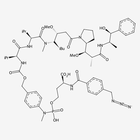 CC[C@H](C)[C@@H]([C@@H](CC(=O)N1CCC[C@H]1[C@H](OC)[C@@H](C)C(=O)N[C@H](C)[C@@H](O)c1ccccc1)OC)N(C)C(=O)[C@@H](NC(=O)[C@@H](NC(=O)OCc1ccc(N(C)P(=O)(O)OCC[C@H](NC(=O)c2ccc(CN=[N+]=[N-])cc2)C(=O)O)cc1)C(C)C)C(C)C